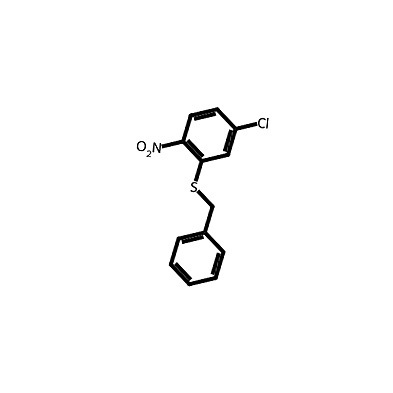 O=[N+]([O-])c1ccc(Cl)cc1SCc1ccccc1